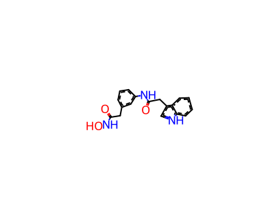 O=C(Cc1cccc(NC(=O)Cc2c[nH]c3ccccc23)c1)NO